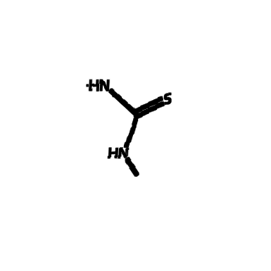 CNC([NH])=S